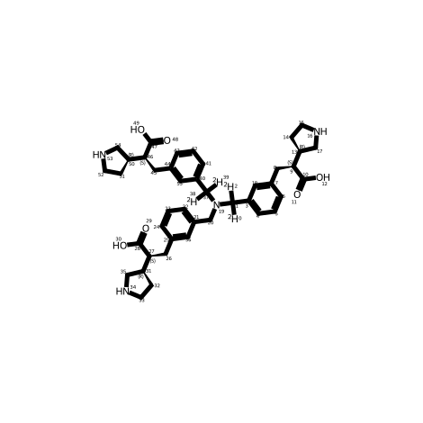 [2H]C([2H])(c1cccc(C[C@H](C(=O)O)[C@H]2CCNC2)c1)N(Cc1cccc(C[C@H](C(=O)O)[C@H]2CCNC2)c1)C([2H])([2H])c1cccc(C[C@H](C(=O)O)[C@H]2CCNC2)c1